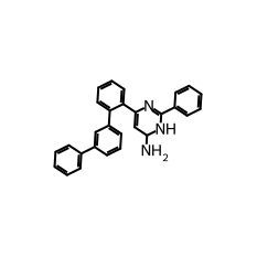 NC1C=C(c2ccccc2-c2cccc(-c3ccccc3)c2)N=C(c2ccccc2)N1